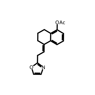 CC(=O)Oc1cccc2c1CCCC2=CCc1ncco1